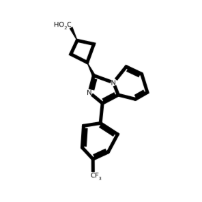 O=C(O)[C@H]1C[C@@H](c2nc(-c3ccc(C(F)(F)F)cc3)c3ccccn32)C1